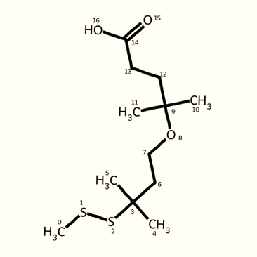 CSSC(C)(C)CCOC(C)(C)CCC(=O)O